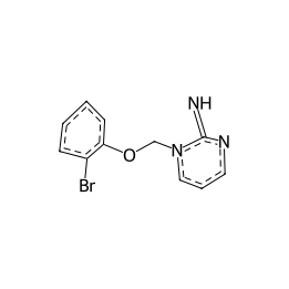 N=c1ncccn1COc1ccccc1Br